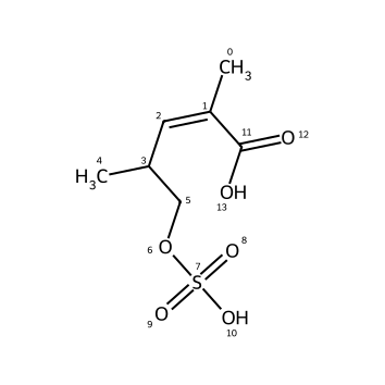 CC(=CC(C)COS(=O)(=O)O)C(=O)O